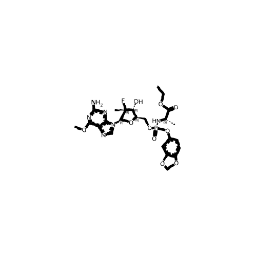 CCOC(=O)[C@H](C)N[P@](=O)(OC[C@H]1O[C@@H](n2cnc3c(OC)nc(N)nc32)[C@](C)(F)[C@@H]1O)Oc1ccc2c(c1)OCO2